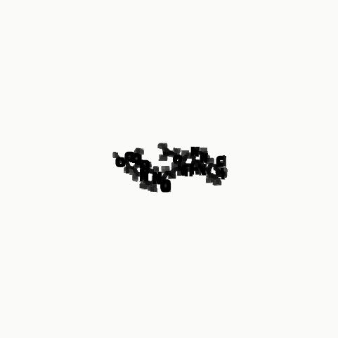 COC(=O)CC(CN1CCN(C(=O)C=CCNc2cc3c(Nc4ccc(F)c(Cl)c4)ncnc3cc2OCC2CC2)CC1)C(=O)OC